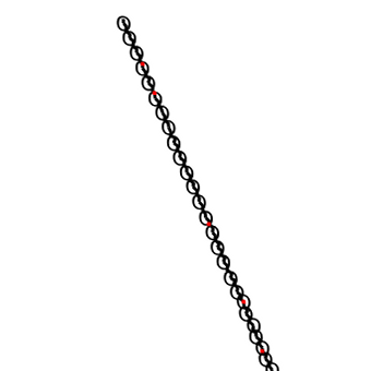 C=CCOCCOCCOCCOCCOCCOCCOCCOCCOCCCOCCCOCCCOCCCOCCCOCCCOCCCOCCCOCCCOCCCOCCCOCCCOCCCOCCCOCCCOCCCOCCCOCCCOC